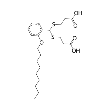 CCCCCCCCCOc1ccccc1C(SCCC(=O)O)SCCC(=O)O